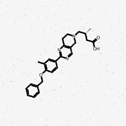 Cc1cc(-c2ncc3c(n2)CCN(C[C@H](C)CC(=O)O)C3)ccc1OCc1ccccc1